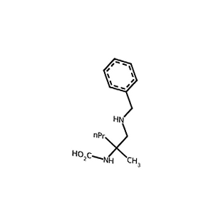 CCCC(C)(CNCc1ccccc1)NC(=O)O